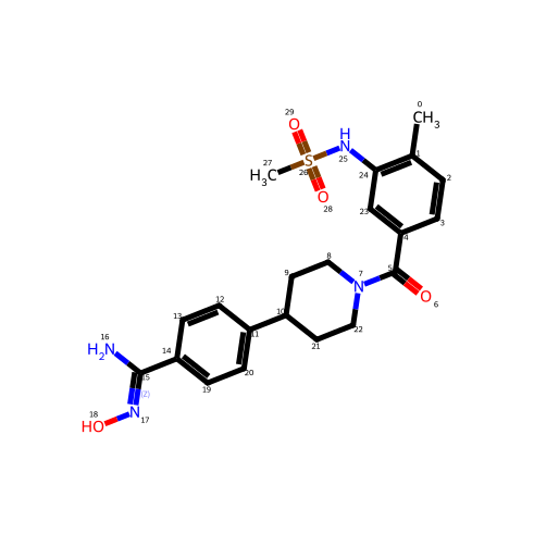 Cc1ccc(C(=O)N2CCC(c3ccc(/C(N)=N/O)cc3)CC2)cc1NS(C)(=O)=O